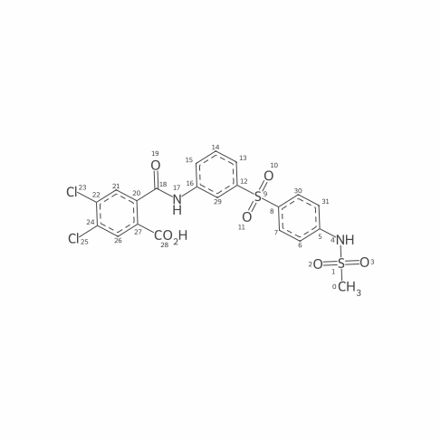 CS(=O)(=O)Nc1ccc(S(=O)(=O)c2cccc(NC(=O)c3cc(Cl)c(Cl)cc3C(=O)O)c2)cc1